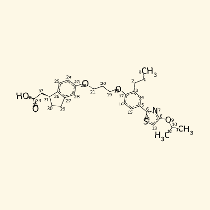 CCCc1cc(-c2nc(OC(C)C)cs2)ccc1OCCCOc1ccc2c(c1)CC[C@H]2CC(=O)O